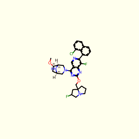 CO[C@@H]1C[C@@H]2CN(c3nc(OCC45CCCN4CC(F)C5)nc4c(F)c(-c5cccc6cccc(Cl)c56)ncc34)C[C@H]1N2